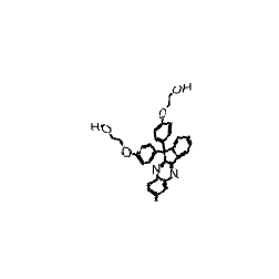 Cc1ccc2nc3c(nc2c1)-c1ccccc1C3(c1ccc(OCCO)cc1)c1ccc(OCCO)cc1